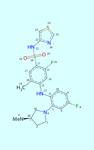 CN[C@@H]1CCN(c2cc(F)ccc2Nc2cc(F)c(S(=O)(=O)Nc3cscn3)cc2C)C1